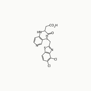 O=C(O)CC1Nc2ccncc2[SH](Cc2nc3c(Cl)c(Cl)ccc3s2)C1=O